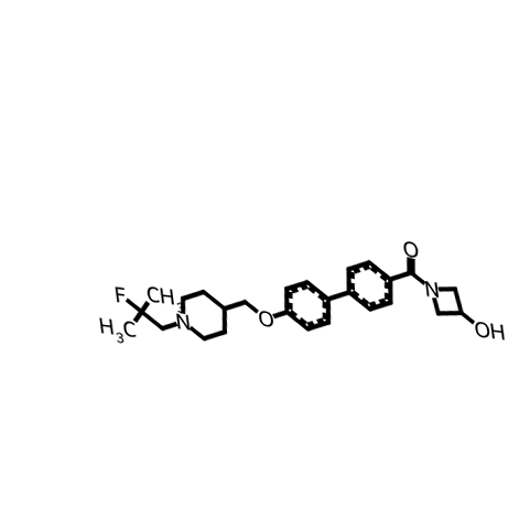 CC(C)(F)CN1CCC(COc2ccc(-c3ccc(C(=O)N4CC(O)C4)cc3)cc2)CC1